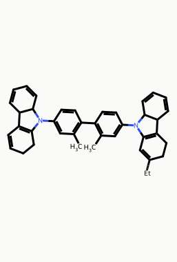 CCC1=CC2=C(CC1)C1C=CC=CC1N2c1ccc(-c2ccc(N3C4=C(C=CCC4)C4C=CC=CC43)cc2C)c(C)c1